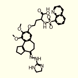 COc1c(OCCC(NS(=O)(=O)c2cccc3cccnc23)C(=O)O)cc2c(c1OC)C1=C(CCC1)C(=NNC1=NCCN1)CC2